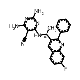 C[C@H](Nc1nc(N)nc(N)c1C#N)c1cc2ccc(F)cc2nc1-c1ccccc1